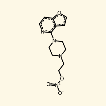 O=[N+]([O-])OCCN1CCN(c2nccc3occc23)CC1